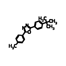 Cc1ccc(-c2nnc(-c3ccc(C(C)(C)C)cc3)o2)cc1